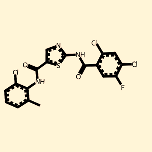 Cc1cccc(Cl)c1NC(=O)c1cnc(NC(=O)c2cc(F)c(Cl)cc2Cl)s1